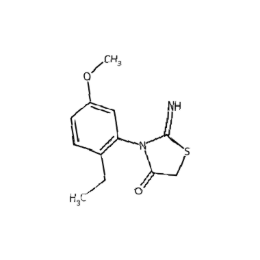 CCc1ccc(OC)cc1N1C(=N)SCC1=O